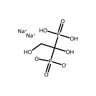 O=P([O-])([O-])C(O)(CO)P(=O)(O)O.[Na+].[Na+]